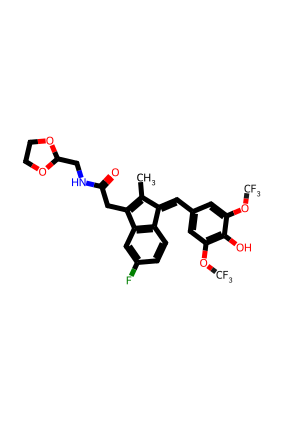 CC1=C(CC(=O)NCC2OCCO2)c2cc(F)ccc2/C1=C\c1cc(OC(F)(F)F)c(O)c(OC(F)(F)F)c1